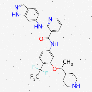 CC(Oc1cc(NC(=O)c2cccnc2Nc2ccc3cn[nH]c3c2)ccc1C(F)(F)C(F)(F)F)C1CCNCC1